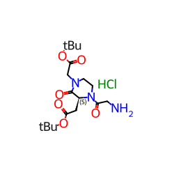 CC(C)(C)OC(=O)C[C@H]1C(=O)N(CC(=O)OC(C)(C)C)CCN1C(=O)CN.Cl